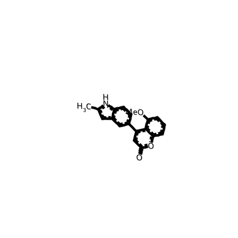 COc1cccc2oc(=O)cc(-c3ccc4[nH]c(C)cc4c3)c12